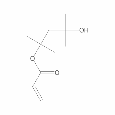 C=CC(=O)OC(C)(C)CC(C)(C)O